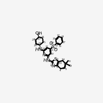 CC1(C)CCc2nc(Nc3cc(S(=O)(=O)c4ccccc4)cc(N[C@H]4CC[C@H](O)CC4)n3)sc2C1